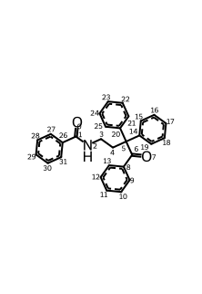 O=C(NCCC(C(=O)c1ccccc1)(c1ccccc1)c1ccccc1)c1ccccc1